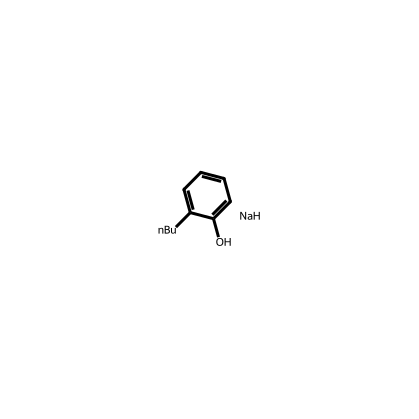 CCCCc1ccccc1O.[NaH]